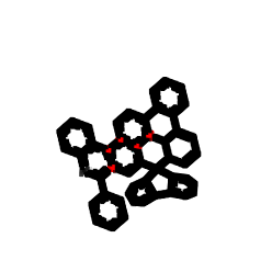 C1=CC2C(Oc3ccccc3C23c2ccccc2-c2ccccc23)C(c2ccccc2-c2ccc(-c3nc(-c4ccccc4)nc4ccccc34)cc2)=C1